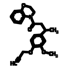 C#CCOc1ccc(C(C)CC(=O)N2CCOc3ccccc32)cc1OC